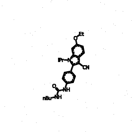 CCCCNC(=O)Nc1ccc(-c2c(C#N)c3ccc(OCC)cc3n2C(C)C)cc1